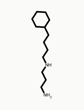 NCCCNCCCCC1CCCCC1